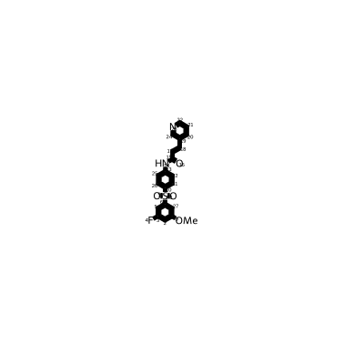 COc1cc(F)cc(S(=O)(=O)c2ccc(NC(=O)C=Cc3cccnc3)cc2)c1